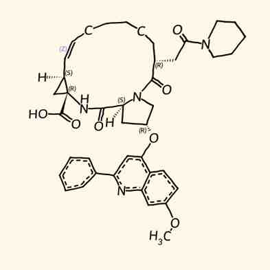 COc1ccc2c(O[C@@H]3C[C@H]4C(=O)N[C@]5(C(=O)O)C[C@H]5/C=C\CCCCC[C@H](CC(=O)N5CCCCC5)C(=O)N4C3)cc(-c3ccccc3)nc2c1